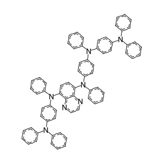 c1ccc(N(c2ccccc2)c2ccc(N(c3ccccc3)c3ccc(N(c4ccccc4)c4ccc(N(c5ccccc5)c5ccc(N(c6ccccc6)c6ccccc6)cc5)c5nccnc45)cc3)cc2)cc1